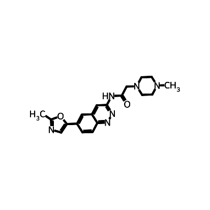 Cc1ncc(-c2ccc3nnc(NC(=O)CN4CCN(C)CC4)cc3c2)o1